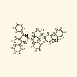 c1ccc(-c2nc(-n3c4ccccc4c4c(-c5ccc6oc7ccccc7c6c5)cccc43)nc3c2ccc2ccccc23)cc1